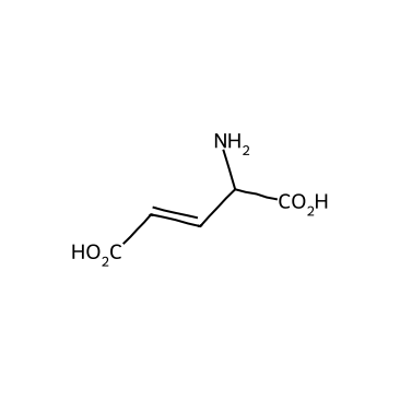 NC(C=CC(=O)O)C(=O)O